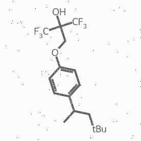 CC(CC(C)(C)C)c1ccc(OCC(O)(C(F)(F)F)C(F)(F)F)cc1